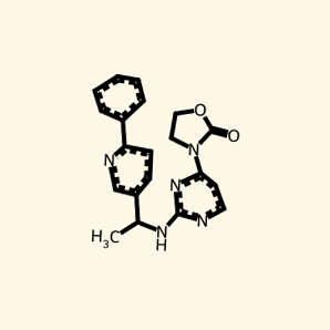 CC(Nc1nccc(N2CCOC2=O)n1)c1ccc(-c2ccccc2)nc1